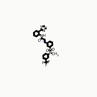 CN(c1cccc(C(F)(F)F)c1)S(=O)(=O)c1cccc(/C=C/C(=O)Nc2ccccc2-c2nncs2)c1